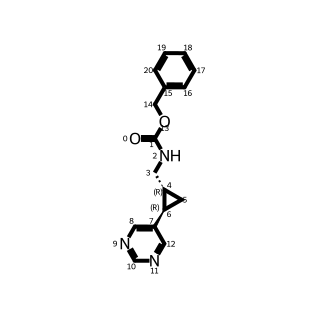 O=C(NC[C@@H]1C[C@H]1c1cncnc1)OCc1ccccc1